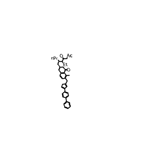 CCCC(CC1CC(=O)c2c(ccc(CC3=CC(c4ccc(-c5ccccc5)cc4)=CC3)c2C)C1)C(CC)C(=O)CC(C)=O